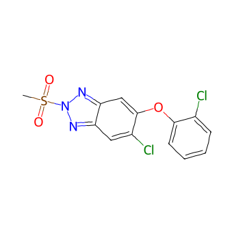 CS(=O)(=O)n1nc2cc(Cl)c(Oc3ccccc3Cl)cc2n1